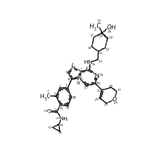 Cc1cc(-c2cnc3c(NCC4CCC(C)(O)CC4)nc(C4=CCOCC4)cn23)ccc1C(=O)NC1CC1